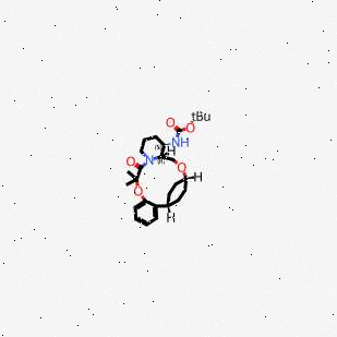 CC(C)(C)OC(=O)N[C@H]1CCCN2C(=O)C(C)(C)Oc3ccccc3[C@H]3CC[C@H](CC3)OC[C@@H]12